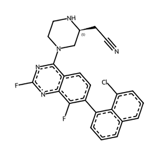 N#CC[C@H]1CN(c2nc(F)nc3c(F)c(-c4cccc5cccc(Cl)c45)ccc23)CCN1